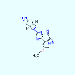 CCOc1cc(-c2cnc(N3C[C@H]4C[C@H](N)C[C@H]4C3)cn2)c2c(C#N)cnn2c1